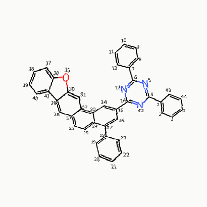 c1ccc(-c2nc(-c3ccccc3)nc(-c3cc(-c4ccccc4)c4ccc5cc6c(cc5c4c3)oc3ccccc36)n2)cc1